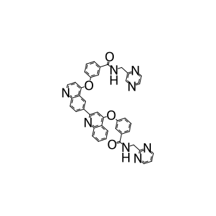 O=C(NCc1cnccn1)c1cccc(Oc2ccnc3ccc(-c4cc(Oc5cccc(C(=O)NCc6ncccn6)c5)c5ccccc5n4)cc23)c1